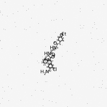 CCOc1ccc(CC(=O)CNCCC(=O)N[C@@H](Cc2ccccc2)C(=O)NCc2ccc(CN)c(Cl)c2)cc1